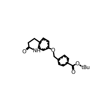 CC(C)(C)OC(=O)c1ccc(COc2ccc3c(c2)NC(=O)CC3)cc1